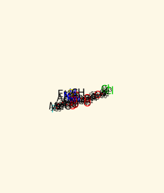 CCN(C(C)=O)c1nc(S(=O)(=O)N2Cc3cc4c(cc3CC2C(=O)NC(Cc2ccc(-c3ccc(F)cc3)cc2)C(=O)OC)OCC(c2ccc(OCc3ccc(Cl)c(Cl)c3)cc2)O4)c(C)s1